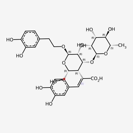 C[C@@H]1O[C@@H](O[C@H]2[C@@H](O)[C@H](OCCc3ccc(O)c(O)c3)O[C@@H](CO)[C@H]2/C(=C\c2ccc(O)c(O)c2)C(=O)O)[C@H](O)[C@H](O)[C@H]1O